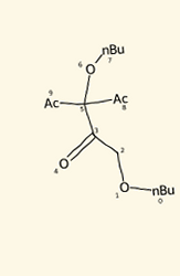 CCCCOCC(=O)C(OCCCC)(C(C)=O)C(C)=O